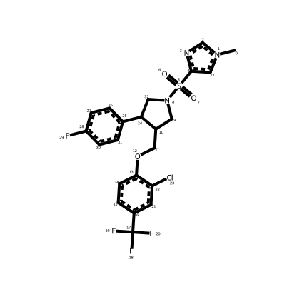 Cn1cnc(S(=O)(=O)N2CC(COc3ccc(C(F)(F)F)cc3Cl)C(c3ccc(F)cc3)C2)c1